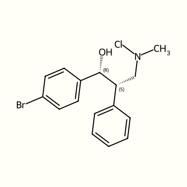 CN(Cl)C[C@H](c1ccccc1)[C@@H](O)c1ccc(Br)cc1